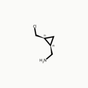 NC[C@@H]1C[C@@H]1CCl